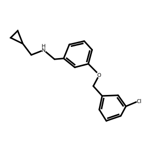 Clc1cccc(COc2cccc(CNCC3CC3)c2)c1